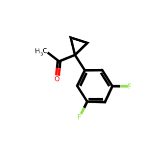 CC(=O)C1(c2cc(F)cc(F)c2)CC1